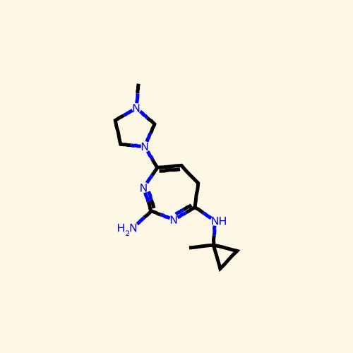 CN1CCN(C2=CCC(NC3(C)CC3)=NC(N)=N2)C1